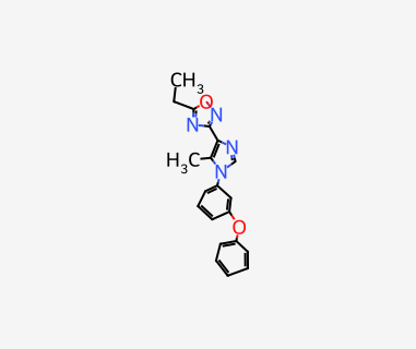 CCc1nc(-c2ncn(-c3cccc(Oc4ccccc4)c3)c2C)no1